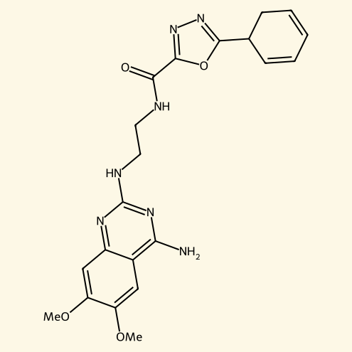 COc1cc2nc(NCCNC(=O)c3nnc(C4C=CC=CC4)o3)nc(N)c2cc1OC